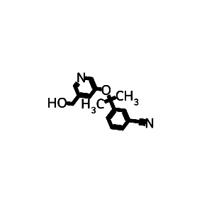 CC(C)(Oc1cncc(CO)c1)c1cccc(C#N)c1